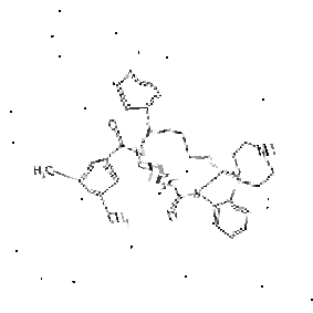 CC(=O)N1c2ccccc2C2(CCNCC2)[C@H]1CCCC(c1ccccc1)N(C)C(=O)c1cc(C)cc(C)c1